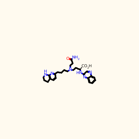 NC(=O)CCN(CCCCc1ccc2c(n1)NCCC2)CC[C@H](Nc1cnc2ccccc2n1)C(=O)O